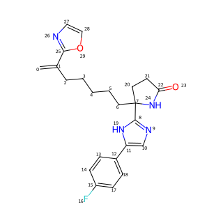 C=C(CCCCCC1(c2ncc(-c3ccc(F)cc3)[nH]2)CCC(=O)N1)c1ncco1